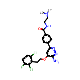 CCN(CC)CCNC(=O)c1ccc(-c2cc(OCCc3c(Cl)ccc(F)c3Cl)c(N)nn2)cc1